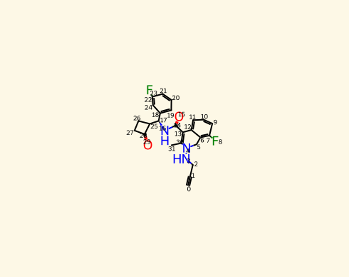 C#CCNN1Cc2c(F)cccc2C(C(=O)N[C@H](c2cccc(F)c2)C2CCC2=O)=C1C